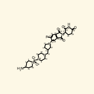 NC1CCN(S(=O)(=O)N2CCN(CC3CCN(c4cc5c(cc4F)C(=O)N(C4CCC(=O)NC4=O)C5=O)C3)CC2)CC1